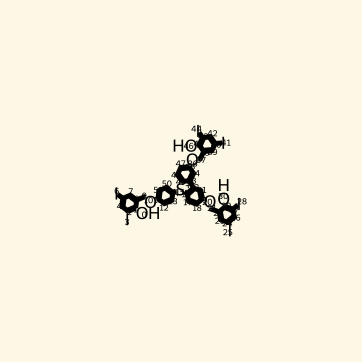 Oc1c(I)cc(I)cc1COc1ccc(-[s+]2c3ccc(OCc4cc(I)cc(I)c4O)cc3c3cc(OCc4cc(I)cc(I)c4O)ccc32)cc1